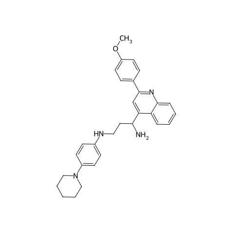 COc1ccc(-c2cc(C(N)CCNc3ccc(N4CCCCC4)cc3)c3ccccc3n2)cc1